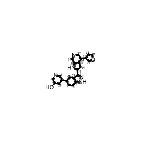 Oc1cncc(-c2ccc3[nH]nc(-c4cc5c(-c6ccoc6)cncc5[nH]4)c3c2)c1